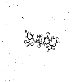 CS(=O)(=O)c1cc(F)ccc1CNC(=O)c1nc2n(c(=O)c1O)CCCOC21CCC1